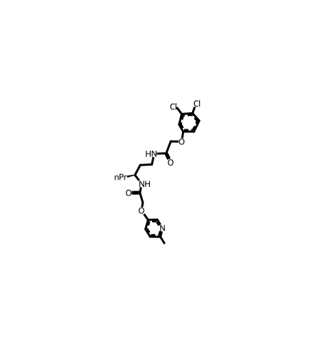 CCC[C@@H](CCNC(=O)COc1ccc(Cl)c(Cl)c1)NC(=O)COc1ccc(C)nc1